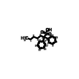 CCCCCC(c1ccccc1)(c1ccccc1)S(=O)(=O)O